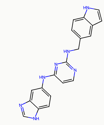 c1cc(Nc2ccc3[nH]cnc3c2)nc(NCc2ccc3[nH]ccc3c2)n1